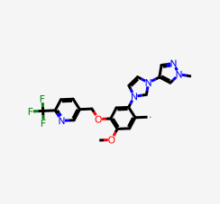 [CH2]c1cc(OC)c(OCc2ccc(C(F)(F)F)nc2)cc1N1C=CN(c2cnn(C)c2)C1